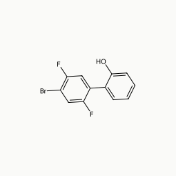 Oc1ccccc1-c1cc(F)c(Br)cc1F